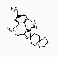 Cc1cc(C)c(C2=C(O)C3(CCC4(CC3)OCCO4)OC2=O)c(C)c1